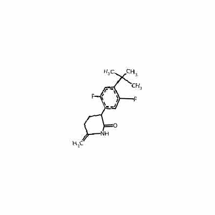 C=C1CCC(c2cc(F)c(C(C)(C)C)cc2F)C(=O)N1